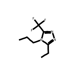 CCCn1c(CC)nnc1C(F)(F)F